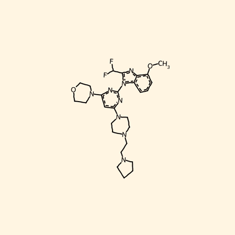 COc1cccc2c1nc(C(F)F)n2-c1nc(N2CCOCC2)cc(N2CCN(CCN3CCCC3)CC2)n1